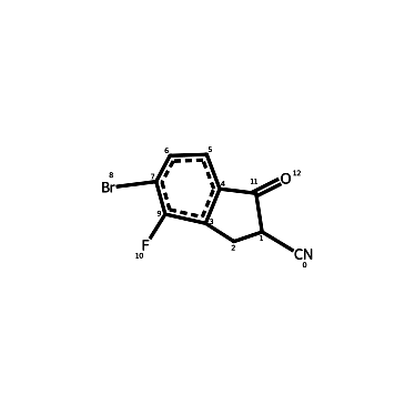 N#CC1Cc2c(ccc(Br)c2F)C1=O